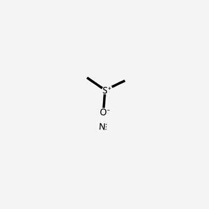 C[S+](C)[O-].[N]